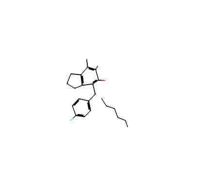 Cc1c(C)c2c(c([C@H](CCCCCC(=O)O)c3ccc(F)cc3)c1O)CCC2